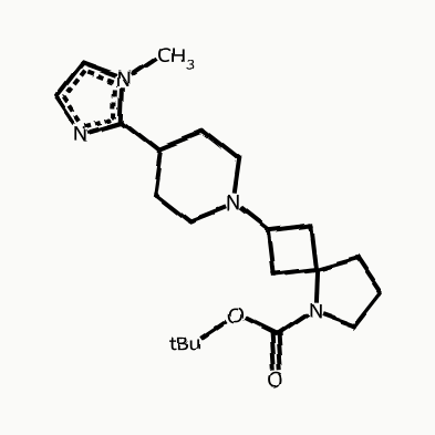 Cn1ccnc1C1CCN(C2CC3(CCCN3C(=O)OC(C)(C)C)C2)CC1